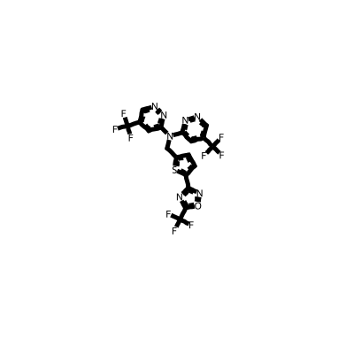 FC(F)(F)c1cnnc(N(Cc2ccc(-c3noc(C(F)(F)F)n3)s2)c2cc(C(F)(F)F)cnn2)c1